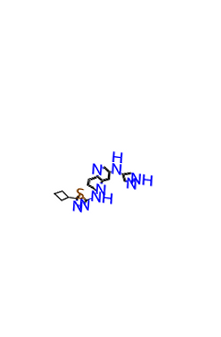 c1n[nH]cc1Nc1cnc2ccc(Nc3nnc(C4CCC4)s3)nc2c1